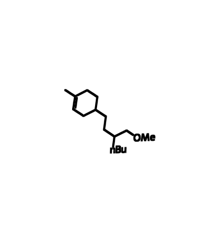 CCCCC(CCC1CC=C(C)CC1)COC